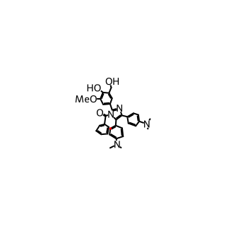 COc1cc(-c2nc(-c3ccc(N(C)C)cc3)c(-c3ccc(N(C)C)cc3)n2C(=O)c2ccccc2)cc(CO)c1O